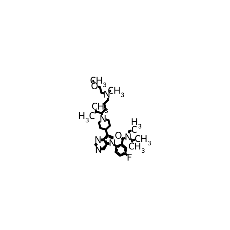 CCN(C(=O)c1cc(F)ccc1-n1cc(C2CCN(C(CCCN(C)CCOC)C(C)C)CC2)c2ncncc21)C(C)C